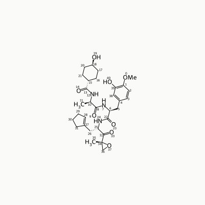 COc1ccc(C[C@H](NC(=O)[C@@H](C)NC(=O)[C@H]2CC[C@H](O)CC2)C(=O)N[C@@H](CC2=CCCC2)C(=O)[C@@]2(C)CO2)cc1O